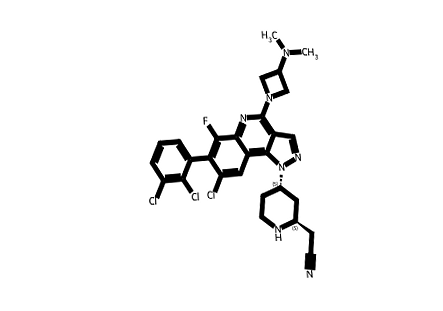 CN(C)C1CN(c2nc3c(F)c(-c4cccc(Cl)c4Cl)c(Cl)cc3c3c2cnn3[C@H]2CCN[C@H](CC#N)C2)C1